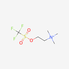 C[N+](C)(C)CCOS(=O)(=O)C(F)(F)F